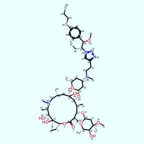 CC[C@H]1OC(=O)[C@H](C)[C@@H](O[C@H]2C[C@@](C)(OC)[C@@H](O)[C@H](C)O2)[C@H](C)[C@@H](O[C@H]2C[C@@H](N(C)CCc3cn([C@H](CF)[C@H](OC)c4ccc(SCCF)cc4)nn3)C[C@@H](C)O2)[C@](C)(O)C[C@@H](C)CN(C)[C@H](C)[C@@H](O)[C@]1(C)O